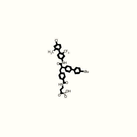 Cc1cc(Cl)ccc1-c1ccc(NC(=O)C(Cc2ccc(C(=O)NCCC(=O)S(=O)O)cc2)c2ccc(-c3ccc(C(C)(C)C)cc3)cc2)cc1C(F)(F)F